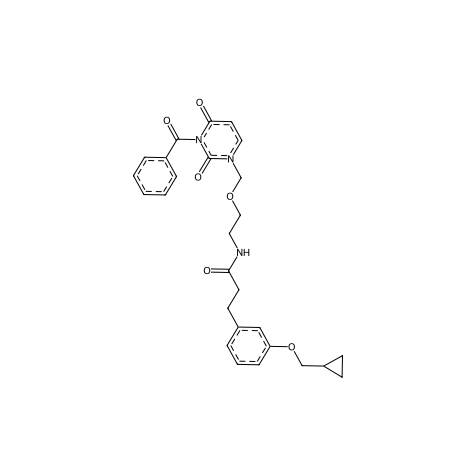 O=C(CCc1cccc(OCC2CC2)c1)NCCOCn1ccc(=O)n(C(=O)c2ccccc2)c1=O